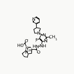 Cc1nc(NNC(=O)[C@@H](CNC(=O)O)CC2CCCC2)c(F)c(N2CCC(c3cccnc3)C2)n1